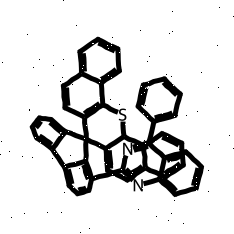 C1=CC2=CC=C3C(Sc4c(ccc5ccccc45)C34c3ccccc3-c3cccc(-c5nc(-c6ccccc6)c6ccccc6n5)c34)C2C=C1